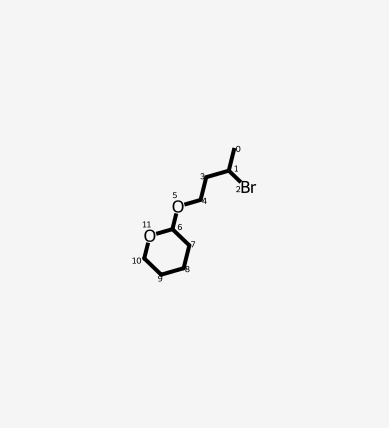 CC(Br)CCOC1CCCCO1